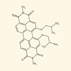 CC(C)COc1cc2c3c(ccc4c5ccc6c7c(cc(OCC(C)C)c(c1c34)c75)C(=O)N(C)C6=O)C(=O)N(C)C2=O